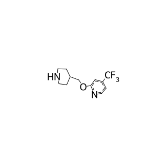 FC(F)(F)c1ccnc(OCC2CCNCC2)c1